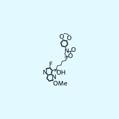 COc1ccc2ncc(F)c([C@H](O)CCCC[C@H]3CN(c4ccc5c(c4)OCCO5)C(=O)O3)c2n1